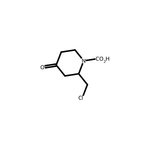 O=C1CCN(C(=O)O)C(CCl)C1